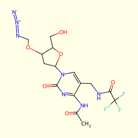 CC(=O)Nc1nc(=O)n(C2CC(OCN=[N+]=[N-])C(CO)O2)cc1CNC(=O)C(F)(F)F